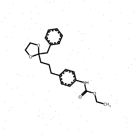 CCOC(=O)Nc1ccc(CCCC2(Cc3ccccc3)OCCO2)cc1